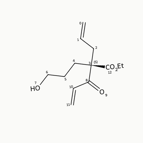 C=CC[C@@](CCCO)(C(=O)C=C)C(=O)OCC